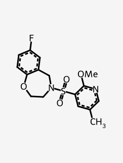 COc1ncc(C)cc1S(=O)(=O)N1CCOc2ccc(F)cc2C1